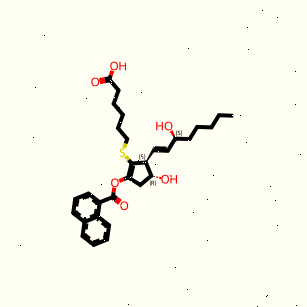 CCCCC[C@H](O)C=C[C@@H]1C(SCCCCCC(=O)O)=C(OC(=O)c2cccc3ccccc23)C[C@H]1O